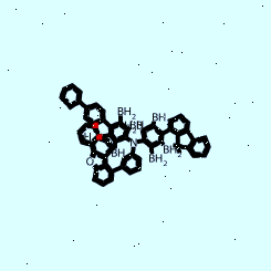 Bc1c(B)c(N(c2cccc(-c3cccc4oc5c6ccccc6ccc5c34)c2)c2c(B)c(B)c(-c3cccc4c3C(C)(C)c3ccccc3-4)c(B)c2B)c(B)c(B)c1-c1ccc(-c2ccccc2)cc1